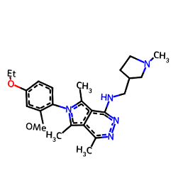 CCOc1ccc(-n2c(C)c3c(C)nnc(NCC4CCN(C)C4)c3c2C)c(OC)c1